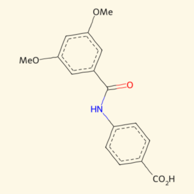 COc1cc(OC)cc(C(=O)Nc2ccc(C(=O)O)cc2)c1